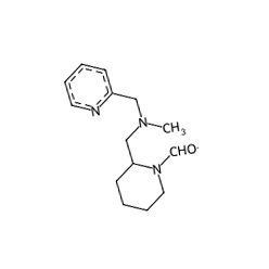 CN(Cc1ccccn1)CC1CCCCN1[C]=O